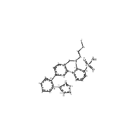 CCCCN(Cc1ccc(-c2ccccc2-c2nnn[nH]2)cc1)c1ncccc1S(=O)(=O)O